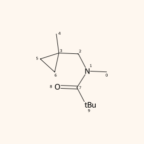 CN(CC1(C)CC1)C(=O)C(C)(C)C